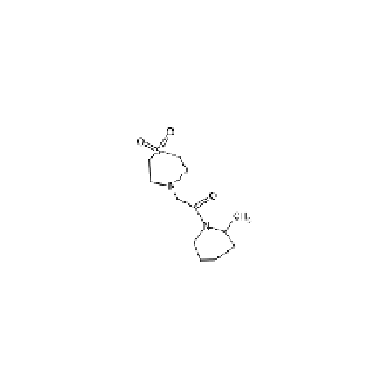 CC1CCCCN1C(=O)CN1CCS(=O)(=O)CC1